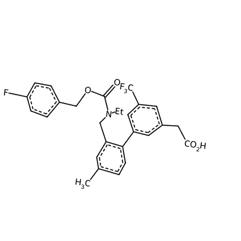 CCN(Cc1cc(C)ccc1-c1cc(CC(=O)O)cc(C(F)(F)F)c1)C(=O)OCc1ccc(F)cc1